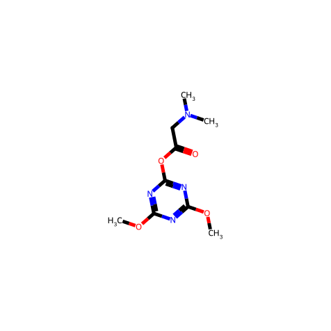 COc1nc(OC)nc(OC(=O)CN(C)C)n1